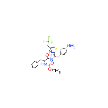 COC(=O)NC(Cc1ccccc1)C(=O)NC(Cc1ccc(N)cc1)c1nc(CC(F)(F)F)cs1